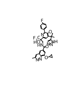 Cc1cc2cc(C(=O)NCC(O)(c3cc4c(c(-c5ccc(F)cc5)n3)OC[C@]4(C)c3cnn[nH]3)C(F)(F)F)cc(OC3CC3)c2nn1